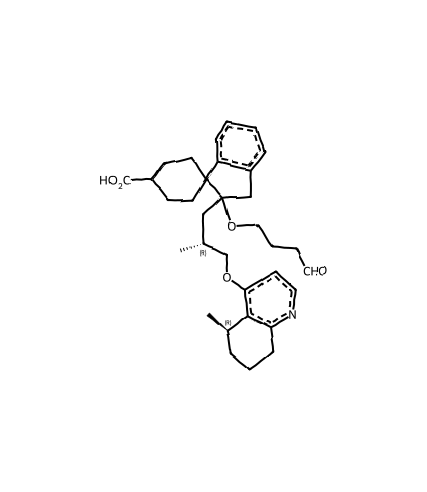 C[C@@H](COc1ccnc2c1[C@H](C)CCC2)CC1(OCCCC=O)Cc2ccccc2C12CCC(C(=O)O)CC2